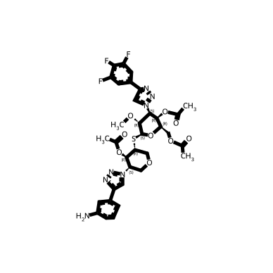 CO[C@@H]1[C@@H](n2cc(-c3cc(F)c(F)c(F)c3)nn2)[C@@H](OC(C)=O)[C@@H](COC(C)=O)O[C@H]1S[C@@H]1COC[C@H](n2cc(-c3cccc(N)c3)nn2)[C@H]1OC(C)=O